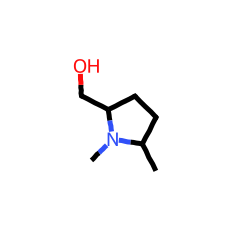 CC1CCC(CO)N1C